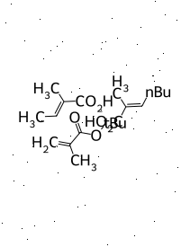 C=C(C)C(=O)OC(C)(C)C.CC=C(C)C(=O)O.CCCCC=C(C)C(=O)O